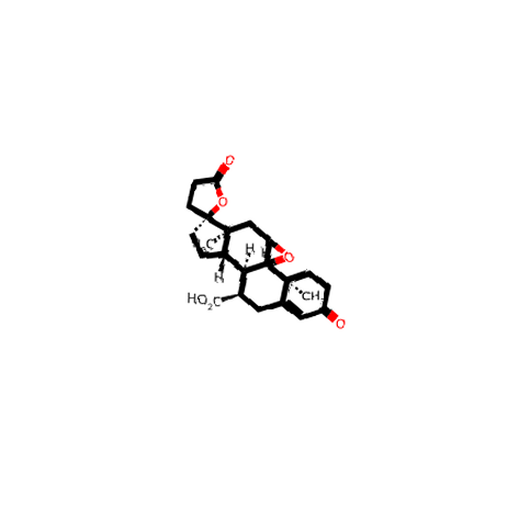 C[C@]12CCC(=O)C=C1C[C@@H](C(=O)O)[C@H]1[C@@H]3CC[C@@]4(CCC(=O)O4)[C@@]3(C)C[C@H]3OC132